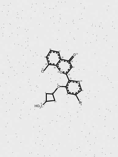 O=C(O)C1CC(Oc2cc(Br)cnc2-c2cc(=O)c3cccc(Cl)c3o2)C1